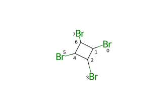 BrC1C(Br)C(Br)C1Br